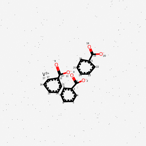 O=C([O-])c1ccccc1.O=C([O-])c1ccccc1.O=C([O-])c1ccccc1.[V+3]